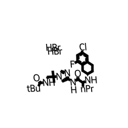 Br.Br.CCCC(N[C@H]1CCc2cc(Cl)cc(F)c2C1)C(=O)Nc1cn(C(C)(C)CNC(=O)C(C)(C)C)cn1